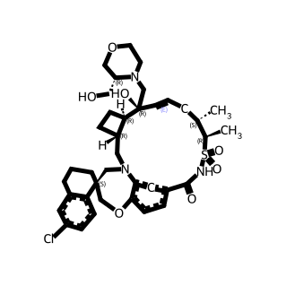 C[C@@H]1[C@@H](C)C/C=C/[C@@](O)(CN2CCOC[C@H]2CO)[C@@H]2CC[C@H]2CN2C[C@@]3(CCCc4cc(Cl)ccc43)COc3ccc(cc32)C(=O)NS1(=O)=O